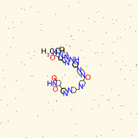 CN(C)C(=O)c1cc2cnc(Nc3ccc(N4CCN(C(=O)C5CCN(CC6CCN(c7cc(C8CCC(=O)NC8=O)ccn7)CC6)CC5)CC4)cn3)nc2n1C1CCCC1